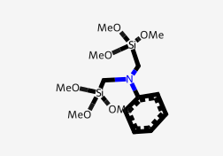 CO[Si](CN(C[Si](OC)(OC)OC)c1ccccc1)(OC)OC